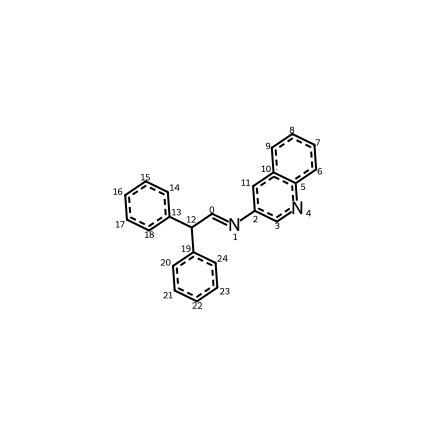 C(=Nc1cnc2ccccc2c1)C(c1ccccc1)c1ccccc1